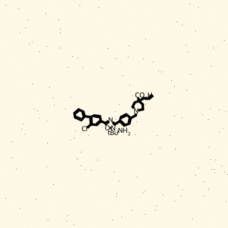 C=CCC1(C(=O)O)CCN(Cc2ccc(-c3noc(-c4ccc(-c5ccccc5)c(Cl)c4)n3)cc2)CC1.CC(C)(C)N